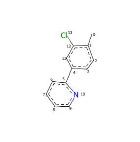 Cc1ccc(-c2c[c]ccn2)cc1Cl